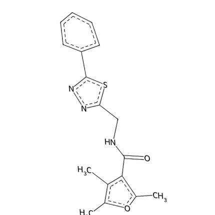 Cc1oc(C)c(C(=O)NCc2nnc(-c3ccccc3)s2)c1C